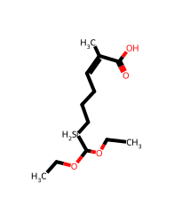 CCOC(OCC)[SiH2]CCCC=C(C)C(=O)O